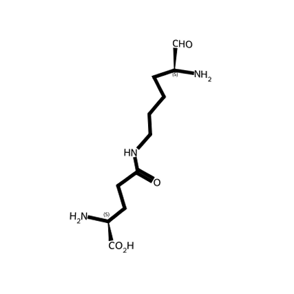 N[C@H](C=O)CCCCNC(=O)CC[C@H](N)C(=O)O